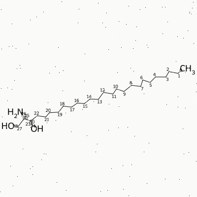 CCCCCCCCCCCCCCCCCCCCCCC[C@@H](O)[C@@H](N)CO